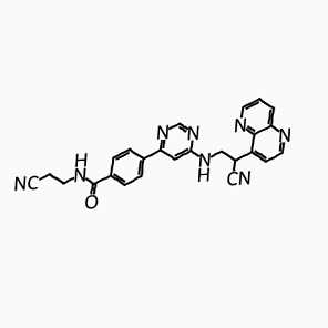 N#CCCNC(=O)c1ccc(-c2cc(NCC(C#N)c3ccnc4cccnc34)ncn2)cc1